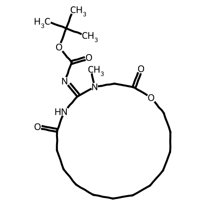 CN1CC(=O)OCCCCCCCCCCCC(=O)N/C1=N/C(=O)OC(C)(C)C